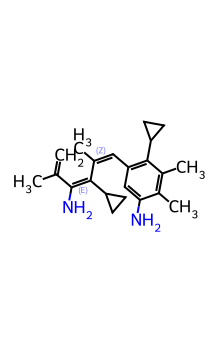 C=C(C)/C(N)=C(\C(C)=C/c1cc(N)c(C)c(C)c1C1CC1)C1CC1